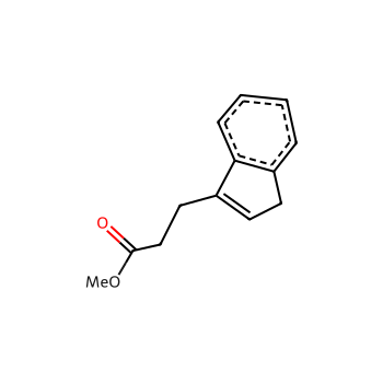 COC(=O)CCC1=CCc2ccccc21